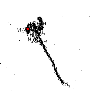 COCCOCCOCCOCCOCCOCCOCCOCCOCCOCCOCCOCC(=O)NCCCC[C@H](NC(=O)OC(C)(C)C)C(=O)N[C@@H](C)C(=O)NCCOC12CC3(C)CC(C)(CC(Cn4ncc(-c5ccc(N6CCc7cccc(C(=O)Nc8nc9ccccc9s8)c7C6)nc5C(=O)O)c4C)(C3)C1)C2